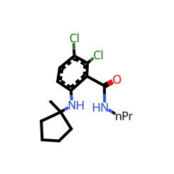 CCCNC(=O)c1c(NC2(C)CCCC2)ccc(Cl)c1Cl